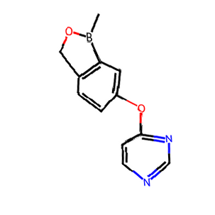 CB1OCc2ccc(Oc3ccncn3)cc21